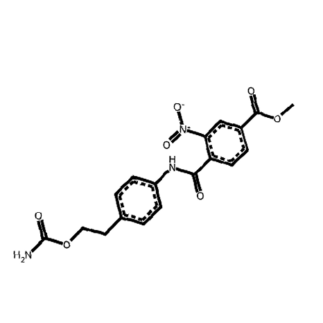 COC(=O)c1ccc(C(=O)Nc2ccc(CCOC(N)=O)cc2)c([N+](=O)[O-])c1